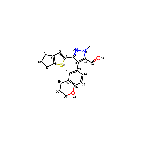 Cn1nc(-c2cc3c(s2)CCC3)c(-c2ccc3c(c2)CCCO3)c1C=O